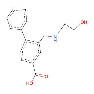 O=C(O)c1ccc(-c2ccccc2)c(CNCCO)c1